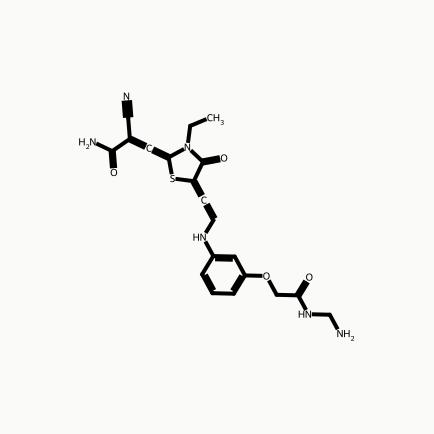 CCn1c(=C=C(C#N)C(N)=O)sc(=C=CNc2cccc(OCC(=O)NCN)c2)c1=O